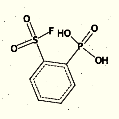 O=P(O)(O)c1ccccc1S(=O)(=O)F